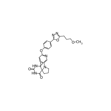 COCCCc1nnc(-c2ccc(Oc3ccc(N4CCCC45C(=O)NC(=O)NC5=O)cn3)cc2)o1